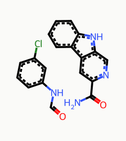 NC(=O)c1cc2c(cn1)[nH]c1ccccc12.O=CNc1cccc(Cl)c1